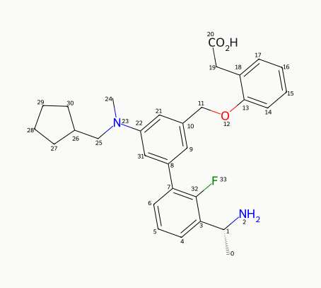 C[C@@H](N)c1cccc(-c2cc(COc3ccccc3CC(=O)O)cc(N(C)CC3CCCC3)c2)c1F